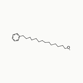 COCCCCCCCCCCCCCCc1ccccc1